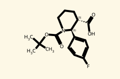 CC(C)(C)OC(=O)N1CCC[C@H](C(=O)O)[C@H]1c1ccc(F)cc1